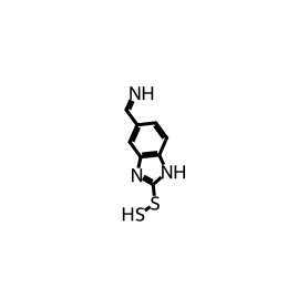 N=Cc1ccc2[nH]c(SS)nc2c1